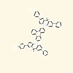 CC(C)c1ccc(-c2ccc3c(c2)C(C)(C)c2cc4c(cc2N3c2ccc3c5ccc(N6c7ccc(-c8ccc(C(C)C)cc8)cc7C(C)(C)c7cc8c(cc76)sc6ccccc68)cc5c5ccccc5c3c2)sc2ccccc24)cc1